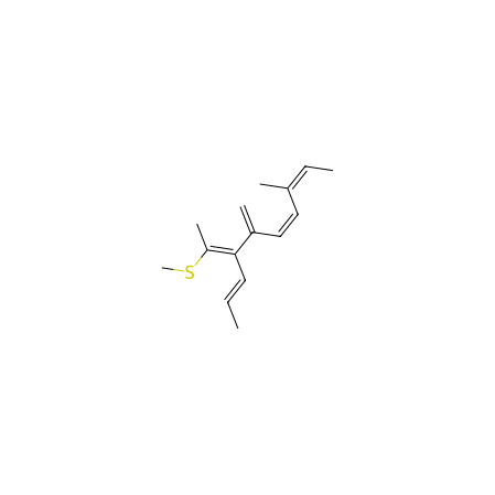 C=C(/C=C\C(C)=C/C)C(/C=C/C)=C(\C)SC